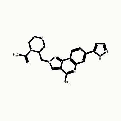 CC(=O)N1CCOCC1Cn1cc2c(N)nc3cc(-c4ccn[nH]4)ccc3c2n1